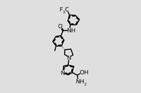 Cc1ccc(C(=O)Nc2cccc(C(F)(F)F)c2)cc1[C@@H]1CCN(c2cncc(C(N)O)c2)C1